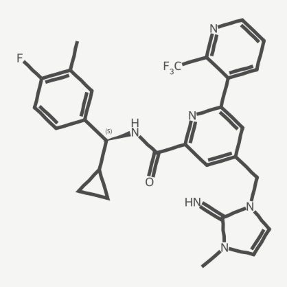 Cc1cc([C@@H](NC(=O)c2cc(Cn3ccn(C)c3=N)cc(-c3cccnc3C(F)(F)F)n2)C2CC2)ccc1F